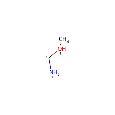 C.NCO